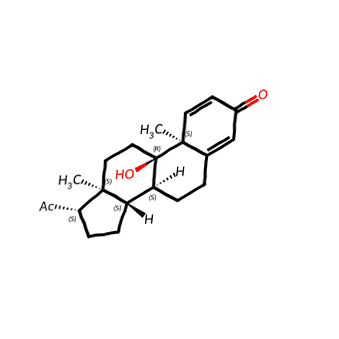 CC(=O)[C@H]1CC[C@H]2[C@@H]3CCC4=CC(=O)C=C[C@]4(C)[C@@]3(O)CC[C@]12C